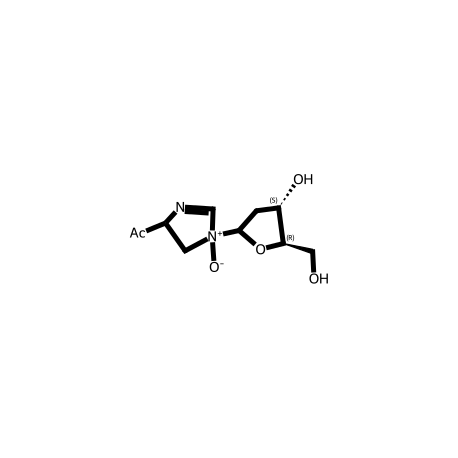 CC(=O)C1C[N+]([O-])(C2C[C@H](O)[C@@H](CO)O2)C=N1